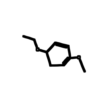 CCO[C]1C=CC(OC)=CC1